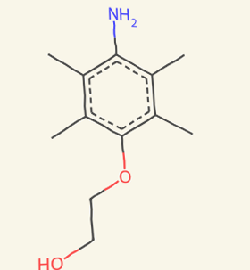 Cc1c(C)c(OCCO)c(C)c(C)c1N